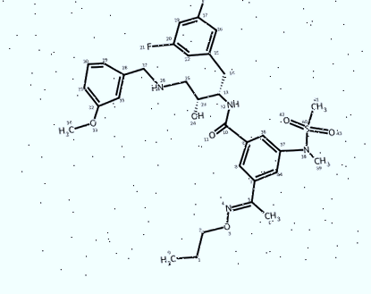 CCCO/N=C(\C)c1cc(C(=O)N[C@@H](Cc2cc(F)cc(F)c2)[C@H](O)CNCc2cccc(OC)c2)cc(N(C)S(C)(=O)=O)c1